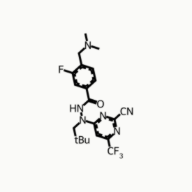 CN(C)Cc1ccc(C(=O)NN(CC(C)(C)C)c2cc(C(F)(F)F)nc(C#N)n2)cc1F